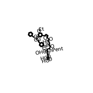 CCCCCC(C(=O)NCNC(=O)c1ccc(-c2cc(OCC)cc(P(=O)(OCc3ccccc3)OCc3ccccc3)c2)o1)C(CC)N(C=O)OCOP(=O)(O)O